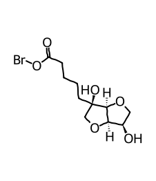 O=C(CCCC[C@@]1(O)CO[C@@H]2[C@H](O)CO[C@@H]21)OBr